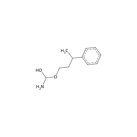 CC(CCOC(N)O)c1ccccc1